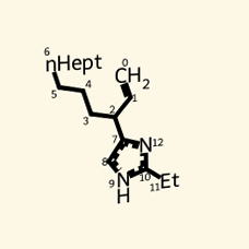 C=CC(CCCCCCCCCC)c1c[nH]c(CC)n1